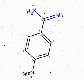 CNc1ccc(C(=N)N)cc1